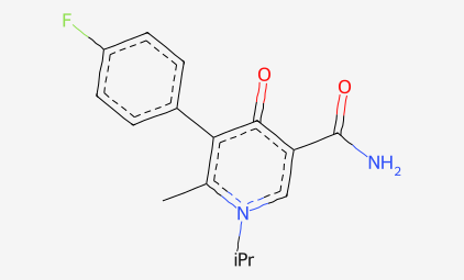 Cc1c(-c2ccc(F)cc2)c(=O)c(C(N)=O)cn1C(C)C